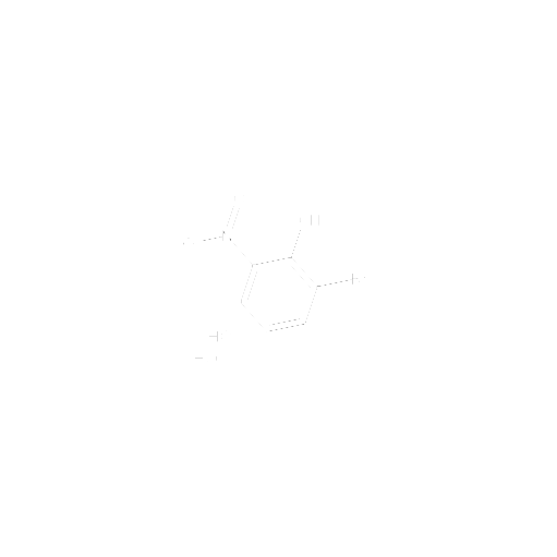 [B+2]c1cccc([N+](=O)[O-])c1C.[OH-].[OH-]